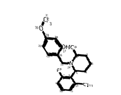 O=CC1CCCC(c2c(F)cccc2Cl)N1Cc1ccc(OC(F)(F)F)cc1